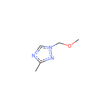 COCn1cnc(C)n1